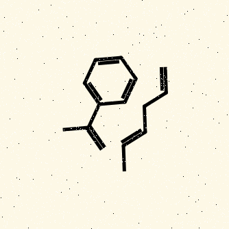 C=C(C)c1ccccc1.C=CCC=CC